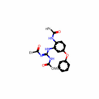 CCCC(=O)Nc1ccc(Oc2ccccc2)cc1NC(=NC(=O)CC)NC(=O)OC